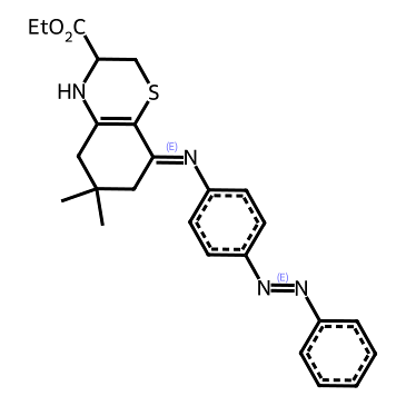 CCOC(=O)C1CSC2=C(CC(C)(C)C/C2=N\c2ccc(/N=N/c3ccccc3)cc2)N1